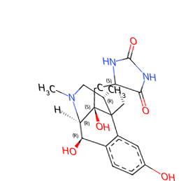 C[C@H]1CN(C)[C@@H]2[C@H](O)c3ccc(O)cc3C13C[C@]1(CC[C@@]23O)NC(=O)NC1=O